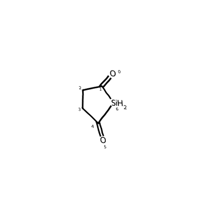 O=C1CCC(=O)[SiH2]1